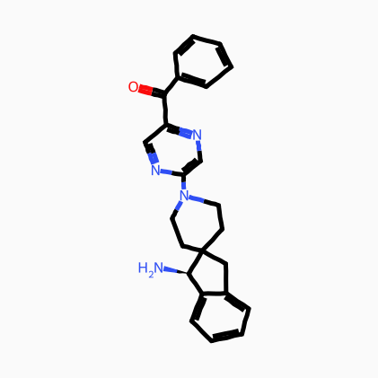 N[C@@H]1c2ccccc2CC12CCN(c1cnc(C(=O)c3ccccc3)cn1)CC2